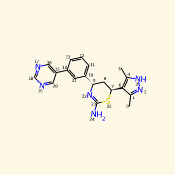 Cc1n[nH]c(C)c1[C@@H]1C[C@@H](c2cccc(-c3cncnc3)c2)N=C(N)S1